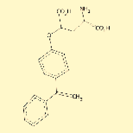 C=C(c1ccccc1)c1ccc(OC(C[C@H](N)C(=O)O)C(=O)O)cc1